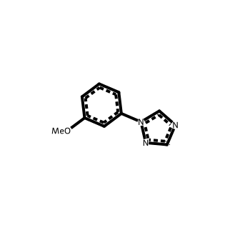 COc1cccc(-n2cn[c]n2)c1